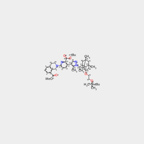 COC(=O)c1cccc2c1CN(c1ccc(-c3cnn(C(C)C45CC6(C)CC(C)(CC(OCCO[Si](C)(C)C(C)(C)C)(C6)C4)C5)c3C)c(C(=O)OC(C)(C)C)n1)CC2